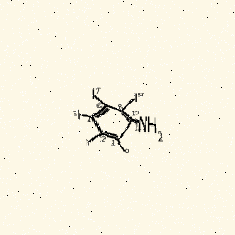 Cc1c(C)c(I)c(I)c(I)c1N